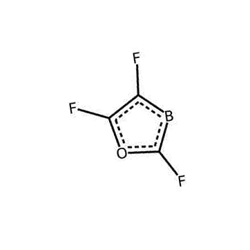 Fc1bc(F)c(F)o1